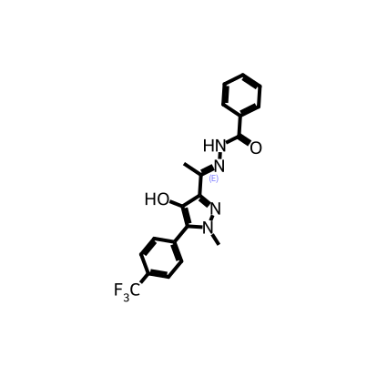 C/C(=N\NC(=O)c1ccccc1)c1nn(C)c(-c2ccc(C(F)(F)F)cc2)c1O